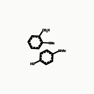 CC(=O)Nc1ccc(O)cc1.CC(=O)Oc1ccccc1C(=O)O